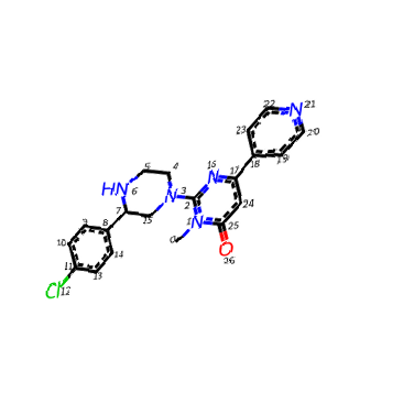 Cn1c(N2CCNC(c3ccc(Cl)cc3)C2)nc(-c2ccncc2)cc1=O